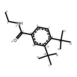 CCNC(=O)c1ccc(C(C)(C)C)c(C(C)(C)C)c1